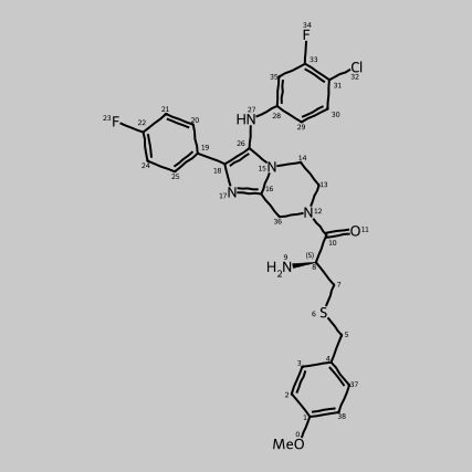 COc1ccc(CSC[C@@H](N)C(=O)N2CCn3c(nc(-c4ccc(F)cc4)c3Nc3ccc(Cl)c(F)c3)C2)cc1